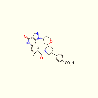 Cc1cc2[nH]c(=O)c3cnn(C4CCOCC4)c3c2cc1C(=O)N1CCCC(c2ccc(C(=O)O)cc2)C1